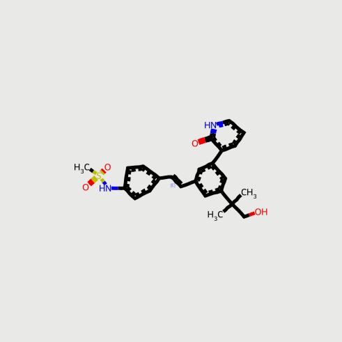 CC(C)(CO)c1cc(/C=C/c2ccc(NS(C)(=O)=O)cc2)cc(-c2ccc[nH]c2=O)c1